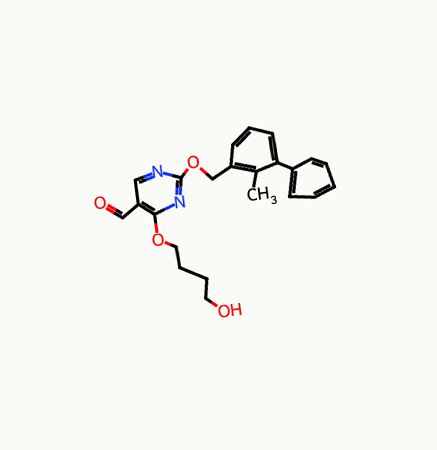 Cc1c(COc2ncc(C=O)c(OCCCCO)n2)cccc1-c1ccccc1